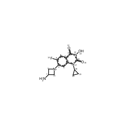 NC1CN(c2cc3c(cc2F)c(=O)n(O)c(=O)n3C2CC2)C1